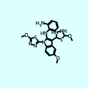 COc1ccc2c(c1)c(C1NNC(OC)S1)c(Nc1ccccc1N)n2-c1nnc(OC)s1